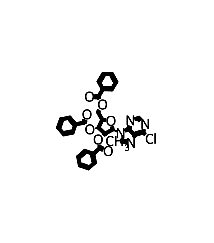 C[C@@]1(OC(=O)c2ccccc2)[C@H](OC(=O)c2ccccc2)C(COC(=O)c2ccccc2)O[C@H]1n1cnc2c(Cl)ncnc21